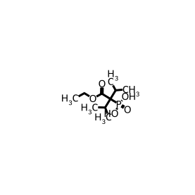 CCOC(=O)C(C(C)C)(C(C)C)P(=O)(O)O